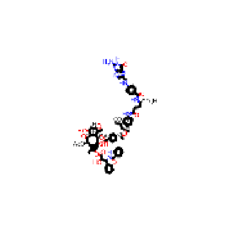 CC(=O)O[C@H]1C(=O)[C@@]2(C)[C@H]([C@H](OC(=O)c3ccc([Si](C)(C)O[Si](C)(CCCC(=O)O)c4ccc(NC(=O)CC[C@H](NC(=O)c5ccc(NCc6cnc7nc(N)[nH]c(=O)c7n6)cc5)C(=O)O)cc4)cc3)[C@]3(O)CC(OC(=O)[C@H](O)C(NC(=O)c4ccccc4)c4ccccc4)C(C)=C1C3(C)C)[C@]1(OC(C)=O)CO[C@@H]1C[C@@H]2O